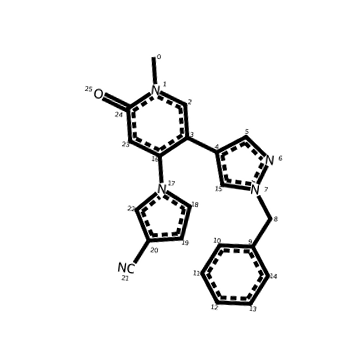 Cn1cc(-c2cnn(Cc3ccccc3)c2)c(-n2ccc(C#N)c2)cc1=O